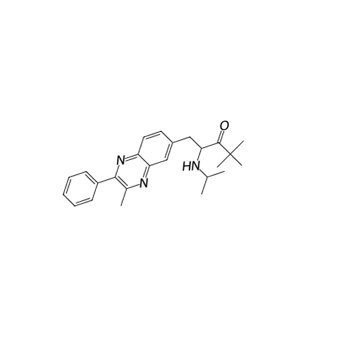 Cc1nc2cc(CC(NC(C)C)C(=O)C(C)(C)C)ccc2nc1-c1ccccc1